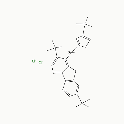 CC(C)(C)c1ccc2c(c1)Cc1c-2ccc(C(C)(C)C)[c]1[Zr+2][C]1=CC([Si](C)(C)C)=CC1.[Cl-].[Cl-]